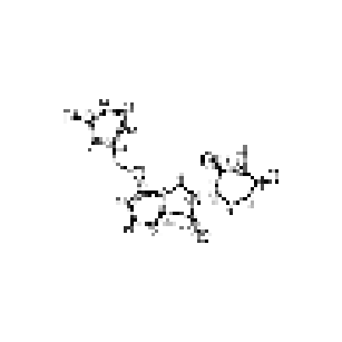 O=C1CC[C@H](N2Cc3c(OCc4cccc(F)c4)cccc3C2=O)C(=O)N1